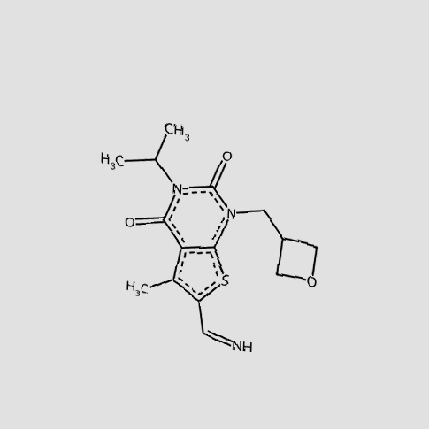 Cc1c(C=N)sc2c1c(=O)n(C(C)C)c(=O)n2CC1COC1